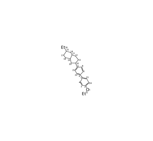 CCOc1ccc(-c2ccc(C3CCC4CC(CC)CCC4C3)cc2)cc1